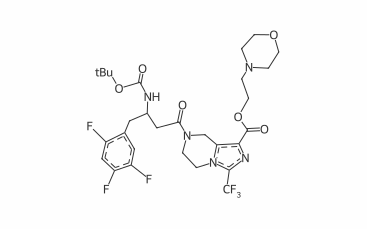 CC(C)(C)OC(=O)NC(CC(=O)N1CCn2c(C(F)(F)F)nc(C(=O)OCCN3CCOCC3)c2C1)Cc1cc(F)c(F)cc1F